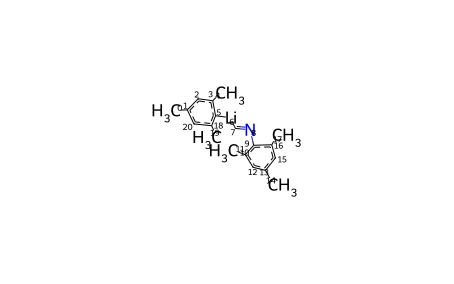 Cc1cc(C)[c]([Li]/[CH]=N/c2c(C)cc(C)cc2C)c(C)c1